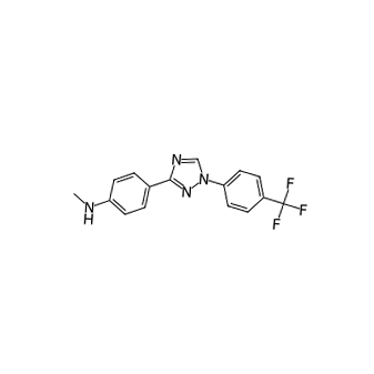 CNc1ccc(-c2ncn(-c3ccc(C(F)(F)F)cc3)n2)cc1